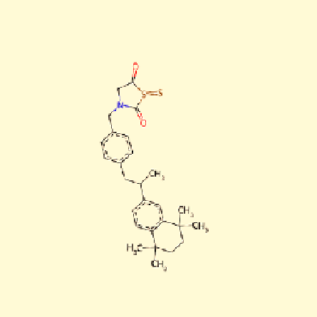 CC(Cc1ccc(CN2CC(=O)S(=S)C2=O)cc1)c1ccc2c(c1)C(C)(C)CCC2(C)C